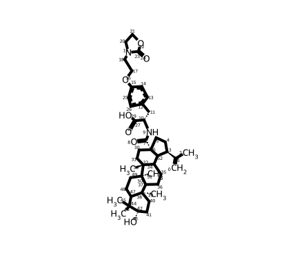 C=C(C)[C@@H]1CC[C@]2(C(=O)N[C@@H](Cc3ccc(OCCN4CCOC4=O)cc3)C(=O)O)CC[C@]3(C)C(CCC4[C@@]5(C)CC[C@H](O)C(C)(C)C5CC[C@]43C)C12